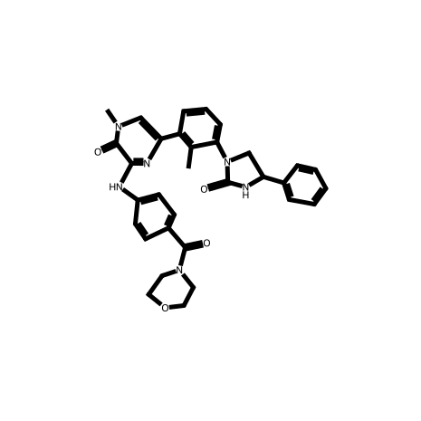 Cc1c(-c2cn(C)c(=O)c(Nc3ccc(C(=O)N4CCOCC4)cc3)n2)cccc1N1CC(c2ccccc2)NC1=O